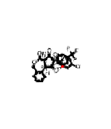 O=C1OCc2ccccc2[C@@H]2[C@@H]1C(=O)[C@@]1(O)c3ncc(Cl)cc3O[C@@]21c1ccc(C(F)(F)F)cc1